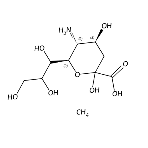 C.N[C@@H]1[C@@H](O)CC(O)(C(=O)O)O[C@H]1C(O)C(O)CO